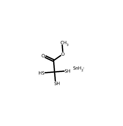 COC(=O)C(S)(S)S.[SnH2]